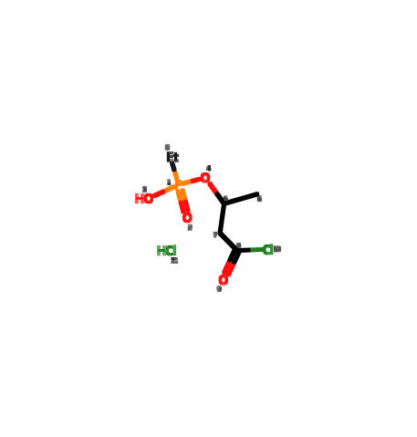 CCP(=O)(O)OC(C)CC(=O)Cl.Cl